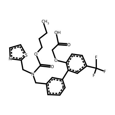 CCCCOC(=O)N(Cc1cccc(-c2cc(C(F)(F)F)ccc2OCC(=O)O)c1)Cc1nccs1